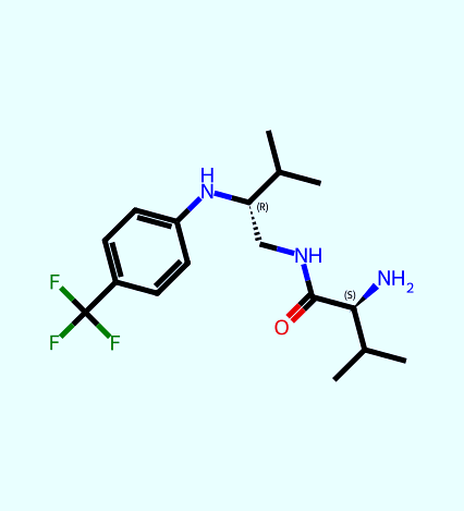 CC(C)[C@H](CNC(=O)[C@@H](N)C(C)C)Nc1ccc(C(F)(F)F)cc1